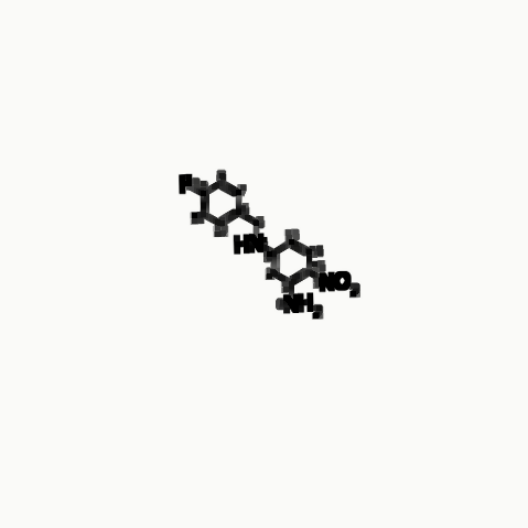 Nc1cc(NCc2ccc(F)cc2)ccc1[N+](=O)[O-]